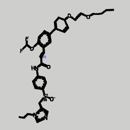 CCCCOCCOC1C=CC(c2ccc(OC(F)F)c(/C=C/C(=O)Nc3ccc([S@@+]([O-])Cc4cncn4CCC)cc3)c2)=CC1